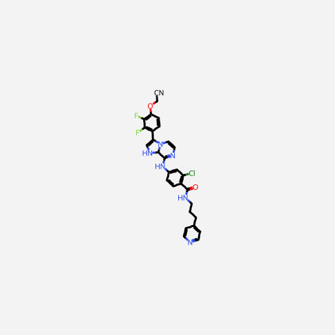 N#CCOc1ccc(C2=CNC3C(Nc4ccc(C(=O)NCCCc5ccncc5)c(Cl)c4)=NC=CN23)c(F)c1F